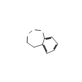 c1ccc2c(c1)CCNSO2